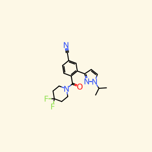 CC(C)n1ccc(-c2cc(C#N)ccc2C(=O)N2CCC(F)(F)CC2)n1